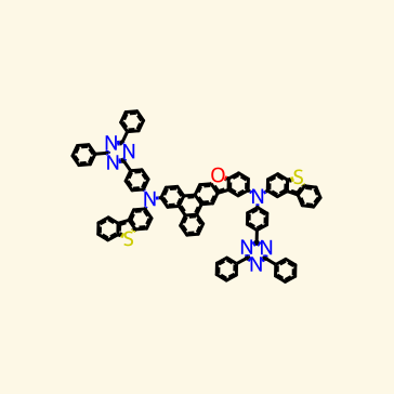 c1ccc(-c2nc(-c3ccccc3)nc(-c3ccc(N(c4ccc5oc6cc7c8ccc(N(c9ccc(-c%10nc(-c%11ccccc%11)nc(-c%11ccccc%11)n%10)cc9)c9ccc%10sc%11ccccc%11c%10c9)cc8c8ccccc8c7cc6c5c4)c4ccc5sc6ccccc6c5c4)cc3)n2)cc1